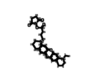 CCN1CCCc2cc3c(cc21)Oc1cc2c(cc1=N3)CCC[N+]=2CCCC(=O)ON1C(=O)CCC1=O